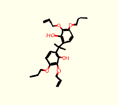 C=CCOc1c(OCCC)ccc(C(C)(C)c2ccc(OCCC)c(OCC=C)c2O)c1O